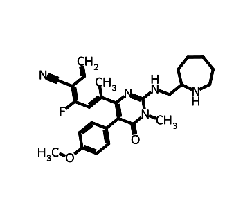 C=C/C(C#N)=C(F)\C=C(/C)c1nc(NCC2CCCCCN2)n(C)c(=O)c1-c1ccc(OC)cc1